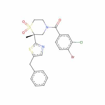 C[C@]1(c2ncc(Cc3ccccc3)s2)CN(C(=O)c2ccc(Br)c(Cl)c2)CCS1(=O)=O